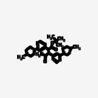 CN1CCN(c2cc(C(C(N)=O)C(C(=O)OC(C)(C)C)c3ccnc(N4CCN(C)CC4)c3)ccn2)CC1